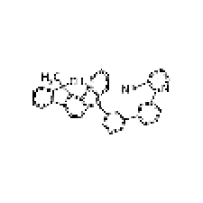 CC1(C)c2ccccc2-c2ccc3c(c21)c1ccccc1n3-c1cccc(-c2cccc(-c3ncccc3C#N)c2)c1